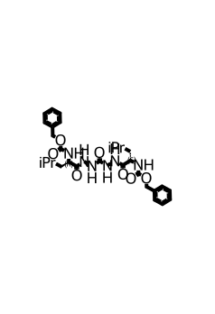 CC(C)C[C@H](NC(=O)OCc1ccccc1)C(=O)NNC(=O)NNC(=O)[C@@H](CC(C)C)NC(=O)OCc1ccccc1